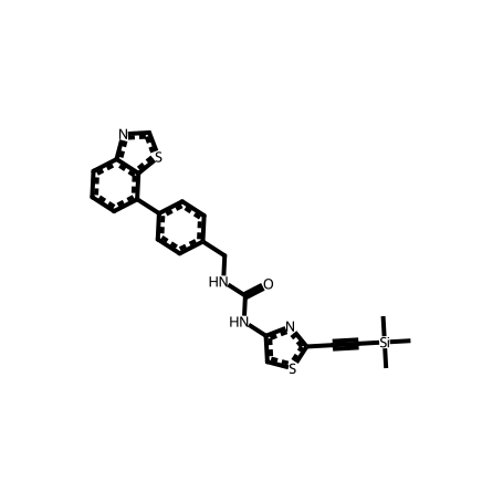 C[Si](C)(C)C#Cc1nc(NC(=O)NCc2ccc(-c3cccc4ncsc34)cc2)cs1